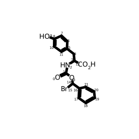 O=C(NC(Cc1ccc(O)cc1)C(=O)O)OC(Br)c1ccccc1